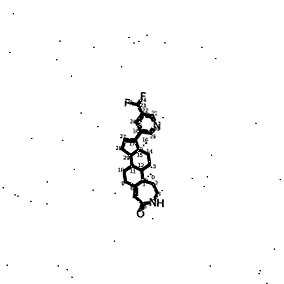 C[C@]12CCNC(=O)C=C1CCC1C2CC[C@]2(C)C(c3cncc(C(F)F)c3)=CCC12